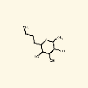 CCCCC1OC(C)C(O)C(O)C1O